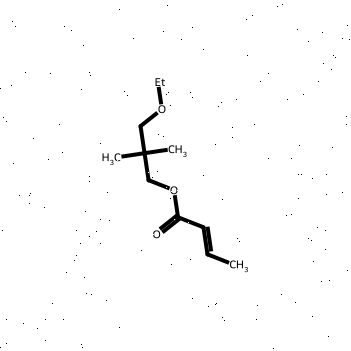 C/C=C/C(=O)OCC(C)(C)COCC